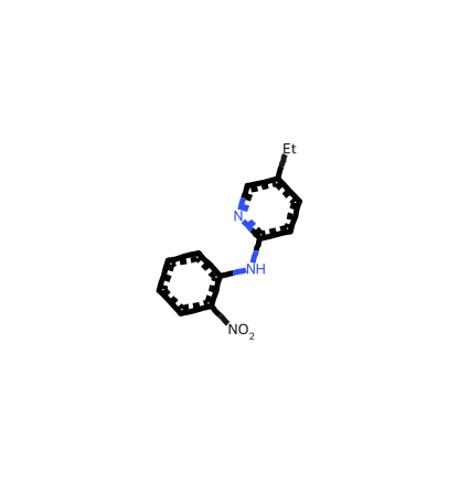 CCc1ccc(Nc2ccccc2[N+](=O)[O-])nc1